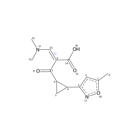 Cc1cc(C2CC2C(=O)/C(=C\N(C)C)C(=O)O)no1